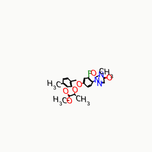 COC(=O)C(C)Oc1cc(C)ccc1COc1ccc(-n2ncc(=O)n(C)c2=O)c(F)c1